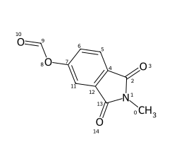 CN1C(=O)c2ccc(OC=O)cc2C1=O